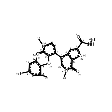 CCNC(=O)c1cc2c(-c3ccn(C)c(=O)c3Oc3c(C)cc(F)cc3C)cn(C)c(=O)c2[nH]1